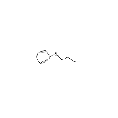 CCCCSC1C=CCC=C1